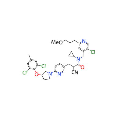 COCCCc1cc(CN(C(=O)C(C#N)Cc2ccc(N3CCC(Oc4c(Cl)cc(C)cc4Cl)C3)nc2)C2CC2)c(Cl)cn1